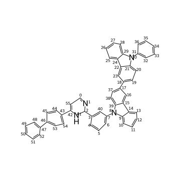 C1=NC(c2cccc(-n3c4ccccc4c4cc(-c5ccc6c(c5)c5ccccc5n6-c5ccccc5)ccc43)c2)NC(c2ccc(-c3ccccc3)cc2)=C1